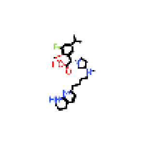 COc1c(F)cc(C(C)C)cc1[C@@H](C(=O)O)N1CC[C@H](N(C)CCCCc2ccc3c(n2)NCCC3)C1